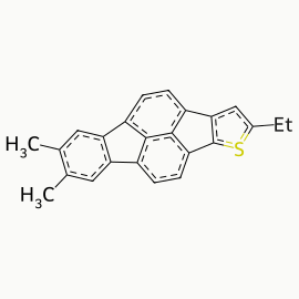 CCc1cc2c(s1)-c1ccc3c4c(ccc-2c14)-c1cc(C)c(C)cc1-3